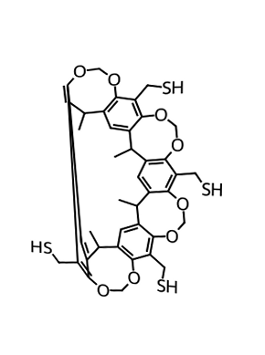 CC1c2cc3c4c(CS)c2OCOc2c1cc1c(c2CS)OCOc2c(cc5c(c2CS)OCOc2c(cc(c(c2CS)OCO4)C3C)C5C)C1C